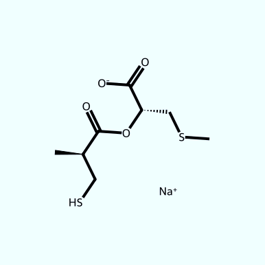 CSC[C@H](OC(=O)[C@H](C)CS)C(=O)[O-].[Na+]